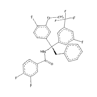 COc1cc([C@@](Cc2ccccc2)(NC(=O)c2ccc(F)c(F)c2)c2cc(F)cc(C(F)(F)F)c2)ccc1F